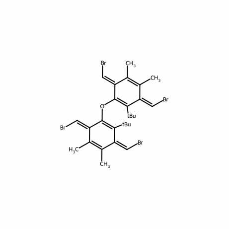 Cc1c(C)c(=CBr)c(C(C)(C)C)c(Oc2c(C(C)(C)C)c(=CBr)c(C)c(C)c2=CBr)c1=CBr